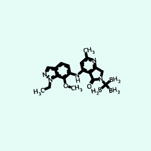 BC(B)(B)N1Cc2nc(C)cc(Nc3ccc4cnn(CC)c4c3OC)c2C1=O